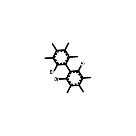 Cc1c(C)c(C)c(-c2c(Br)c(C)c(C)c(C)c2Br)c(Br)c1C